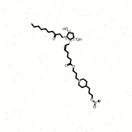 CCCCCCCC(=O)CC[C@@H]1[C@@H](C/C=C\CCCC(=O)OCCCN2CCC(CCCO[N+](=O)[O-])CC2)[C@@H](O)C[C@H]1O